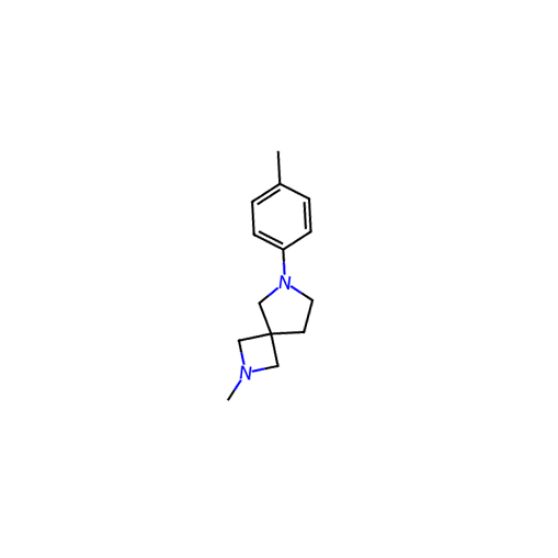 Cc1ccc(N2CCC3(CN(C)C3)C2)cc1